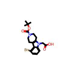 CC(C)(C)OC(=O)N1CCc2c(n(CC(=O)O)c3cccc(Br)c23)CC1